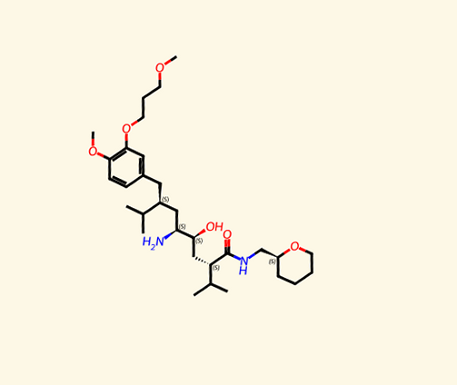 COCCCOc1cc(C[C@@H](C[C@H](N)[C@@H](O)C[C@H](C(=O)NC[C@@H]2CCCCO2)C(C)C)C(C)C)ccc1OC